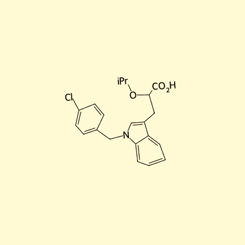 CC(C)OC(Cc1cn(Cc2ccc(Cl)cc2)c2ccccc12)C(=O)O